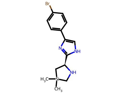 C[Si]1(C)CN[C@H](c2nc(-c3ccc(Br)cc3)c[nH]2)C1